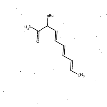 C/C=C/C=C/C=C/C(CCCC)C(N)=O